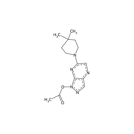 CC(=O)On1ncc2ncc(N3CCC(C)(C)CC3)nc21